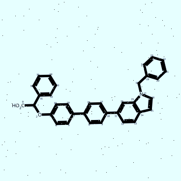 O=C(O)C(Oc1ccc(-c2ccc(-c3ccc4ccn(Cc5ccccc5)c4c3)cc2)cc1)c1ccccc1